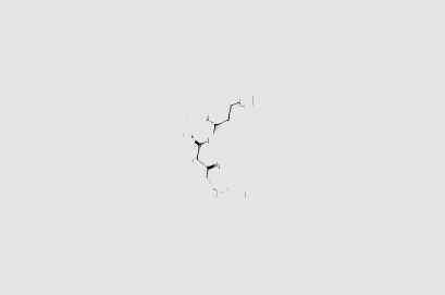 CCCC(C)OC(=O)CC(=O)OC(O)CCO